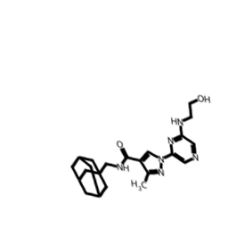 Cc1nn(-c2cncc(NCCO)n2)cc1C(=O)NCC12CC3CC(CC(C3)C1)C2